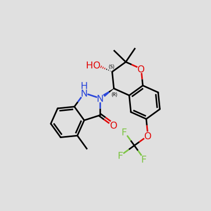 Cc1cccc2[nH]n([C@@H]3c4cc(OC(F)(F)F)ccc4OC(C)(C)[C@H]3O)c(=O)c12